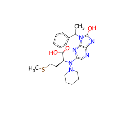 CSCC[C@@H](C(=O)O)N(c1cnc2nc(O)n(C(C)c3ccccc3)c2n1)N1CCCCC1